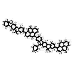 CC1(C)c2cc(-c3ccc4cc(-c5ccc6c7cc8c(cc7n(-c7ccccc7)c6c5)C(C)(C)c5cc(-c6ccc7ccc9cccc%10ccc6c7c9%10)ccc5-8)c5cccc6ccc3c4c65)ccc2-c2cc3oc4ccccc4c3cc21